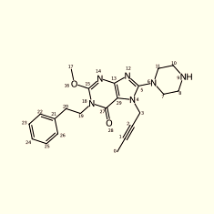 CC#CCn1c(N2CCNCC2)nc2nc(OC)n(CCc3ccccc3)c(=O)c21